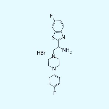 Br.NC(CN1CCN(c2ccc(F)cc2)CC1)c1nc2ccc(F)cc2s1